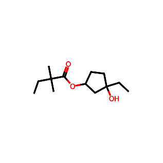 CCC1(O)CCC(OC(=O)C(C)(C)CC)C1